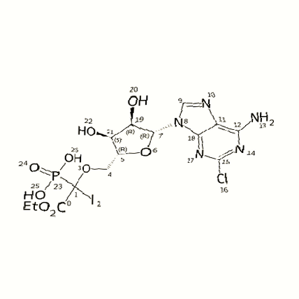 CCOC(=O)C(I)(OC[C@H]1O[C@@H](n2cnc3c(N)nc(Cl)nc32)[C@H](O)[C@@H]1O)P(=O)(O)O